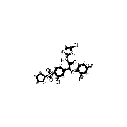 O=C(Nc1ncc(Cl)s1)C(Oc1ccc(F)cc1F)c1ccc(S(=O)(=O)C2CCCC2)c(Cl)c1